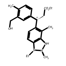 CCOC(=O)C[C@@H](c1ccc(C)c(CO)c1)c1ccc2c(c1C)NN(C)N2CC